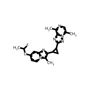 Cc1ncc(C)n2nc(C3CC3c3nc4cc(OC(C)F)ccn4c3C)nc12